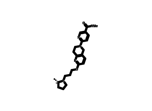 CNC(=O)c1ccc(N2CCc3nc(OCCCN4CCC[C@@H]4C)ccc3C2)nc1